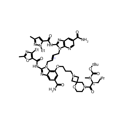 CCc1nc(C)oc1C(=O)Nc1nc2cc(C(N)=O)cc(OCCCN3CC4(C3)CN(C(=O)[C@H](CC(C)C)N(C)C(=O)OC(C)(C)C)CCO4)c2n1C/C=C/Cn1c(NC(=O)c2cc(C)nn2CC)nc2cc(C(N)=O)cnc21